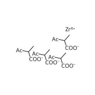 CC(=O)C(C)C(=O)[O-].CC(=O)C(C)C(=O)[O-].CC(=O)C(C)C(=O)[O-].CC(=O)C(C)C(=O)[O-].[Zr+4]